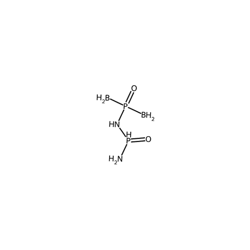 BP(B)(=O)N[PH](N)=O